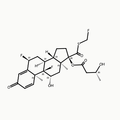 C[C@@H](O)CC(=O)O[C@]1(C(=O)SCF)CC[C@H]2[C@@H]3C[C@H](F)C4=CC(=O)C=C[C@]4(C)[C@@]3(F)[C@@H](O)C[C@@]21C